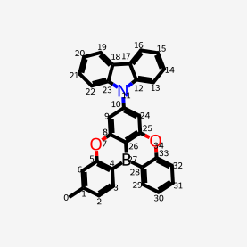 Cc1ccc2c(c1)Oc1cc(-n3c4ccccc4c4ccccc43)cc3c1B2c1ccccc1O3